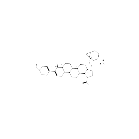 C=C(C)[C@@H]1CC[C@]2(NCC[C@]34CC[C@@H](S(C)(=O)=O)CC3C4)CC[C@]3(C)[C@H](CC[C@@H]4[C@@]5(C)CC=C(C6=CC[C@@](CO)(C(=O)O)CC6)C(C)(C)[C@@H]5CC[C@]43C)[C@@H]12